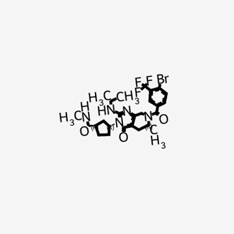 CNC(=O)[C@@H]1CC[C@@H](n2c(NC(C)C)nc3c(c2=O)C[C@@H](C)N(C(=O)c2ccc(Br)c(C(F)(F)F)c2)C3)C1